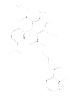 COC(=O)C1=C(C)NC(C)=C(C(=O)OCCOC(=O)c2cccnc2Cl)C1c1cccc([N+](=O)[O-])c1